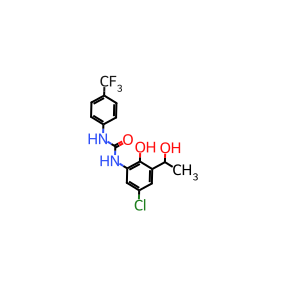 CC(O)c1cc(Cl)cc(NC(=O)Nc2ccc(C(F)(F)F)cc2)c1O